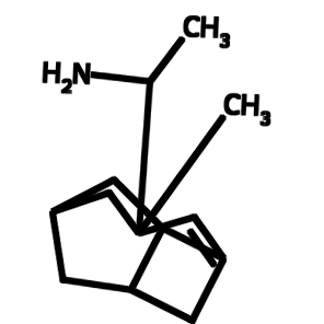 CC(N)C1(C)C=C2CC3CC(CC23)C1